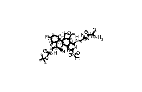 CCS(=O)(=O)c1nc(NCc2noc(C(N)=O)n2)c2c3c(c(-c4ccc(F)c5sc(NC(=O)OC(C)(C)C)c(C#N)c45)c(Cl)c2n1)COC3